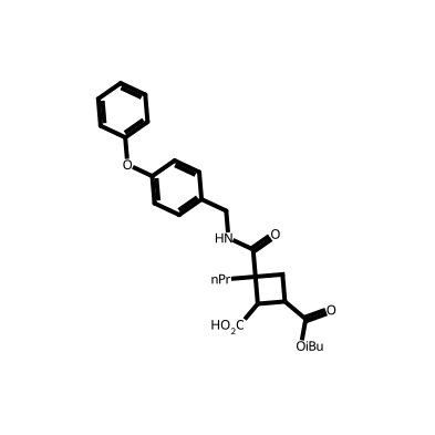 CCCC1(C(=O)NCc2ccc(Oc3ccccc3)cc2)CC(C(=O)OCC(C)C)C1C(=O)O